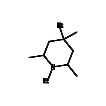 CCN1C(C)CC(C)(CC)CC1C